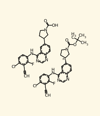 C#Cc1c(Cl)ccc(Nc2ncnc3ccc(C4CCN(C(=O)O)C4)cc23)c1F.C#Cc1c(Cl)ccc(Nc2ncnc3ccc([C@H]4CCN(C(=O)OC(C)(C)C)C4)cc23)c1F